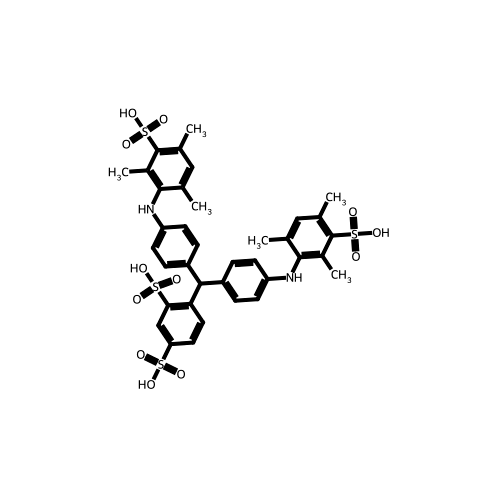 Cc1cc(C)c(S(=O)(=O)O)c(C)c1Nc1ccc(C(c2ccc(Nc3c(C)cc(C)c(S(=O)(=O)O)c3C)cc2)c2ccc(S(=O)(=O)O)cc2S(=O)(=O)O)cc1